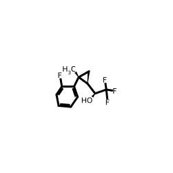 C[C@@]1(c2ccccc2F)C[C@H]1[C@H](O)C(F)(F)F